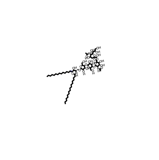 CCCCCCCCCCCCC/C=C/[C@@H](O)[C@H](CO[C@@H]1OC(CO)[C@@H](O[C@@H]2OC(CO)[C@H](O[C@@H]3OC(CO[C@]4(C(=O)O)CC(O)[C@@H](NC(C)=O)C([C@H](O)[C@H](O)CO)O4)[C@H](O)[C@H](O)C3NC(C)=O)[C@H](O)C2O)[C@H](O)C1O)NC(=O)CCCCCCCCCCCCCCCCC